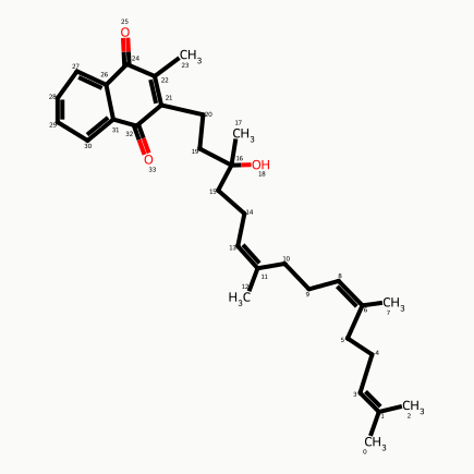 CC(C)=CCCC(C)=CCCC(C)=CCCC(C)(O)CCC1=C(C)C(=O)c2ccccc2C1=O